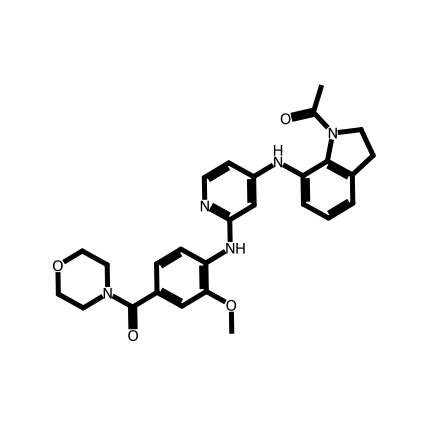 COc1cc(C(=O)N2CCOCC2)ccc1Nc1cc(Nc2cccc3c2N(C(C)=O)CC3)ccn1